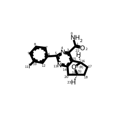 NC(=O)c1nc(-c2cccc(I)c2)nc2c1[C@H]1CC[C@@H](C2)O1